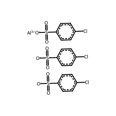 O=S(=O)([O-])c1ccc(Cl)cc1.O=S(=O)([O-])c1ccc(Cl)cc1.O=S(=O)([O-])c1ccc(Cl)cc1.[Al+3]